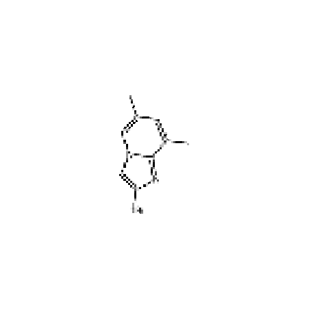 Cc1cc(C)c2nc(C(C)(C)C)cn2c1